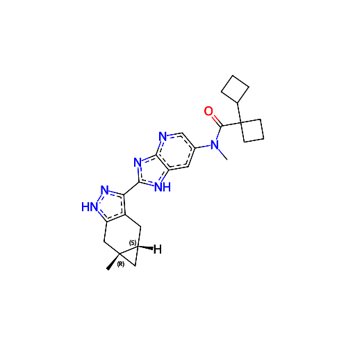 CN(C(=O)C1(C2CCC2)CCC1)c1cnc2nc(-c3n[nH]c4c3C[C@@H]3C[C@]3(C)C4)[nH]c2c1